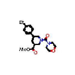 CCc1ccc(C2CC(C(=O)OC)CN(C(=O)N3CCOCC3)C2)cc1